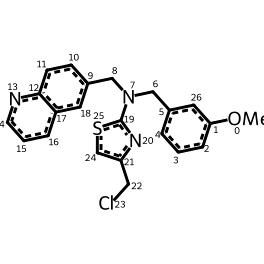 COc1cccc(CN(Cc2ccc3ncccc3c2)c2nc(CCl)cs2)c1